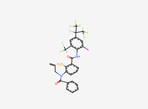 C=CCN(C(=O)c1ccccc1)c1cccc(C(=O)Nc2c(I)cc(C(F)(C(F)(F)F)C(F)(F)F)cc2C(F)(F)F)c1P